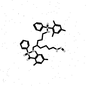 Cc1cc(C)c(C(=O)P(=O)(NCC(CCCCNP=O)CCCNP(=O)(c2ccccc2)c2c(C)cc(C)cc2C)c2ccccc2)c(C)c1